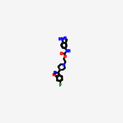 O=C(Nc1ccc2[nH]ncc2c1)OCCN1CCC(c2noc3cc(F)ccc23)CC1